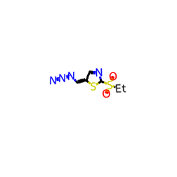 CCS(=O)(=O)C1N=CC(=CN=[N+]=[N-])S1